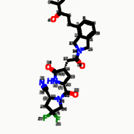 CC(C)C(=O)CCc1cccc2c1CN(C(=O)C[C@@H]1C[C@@H](C(=O)N3CC(F)(F)C[C@H]3C#N)NC1=O)C2